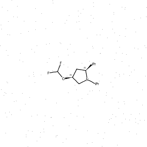 CC(C)[C@@H]1C[C@H](OC(F)F)CN1C(C)C